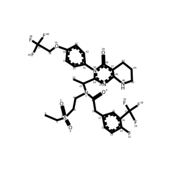 CCS(=O)(=O)CCN(C(=O)Cc1ccc(F)c(C(F)(F)F)c1)C(C)c1nc2c(c(=O)n1-c1ccc(OCC(F)(F)F)cc1)CCCN2